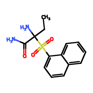 CCC(N)(C(N)=O)S(=O)(=O)c1cccc2ccccc12